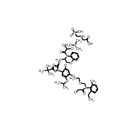 CC(C)Oc1cc(-n2nc(C(C)(C)C)oc2=O)c(Cl)cc1Cl.CC1COc2ccccc2N1C(=O)C(Cl)Cl.CCOCN(C(=O)CCl)c1c(C)cccc1CC.C[S+](C)C.O=C(O)CNCP(=O)([O-])O